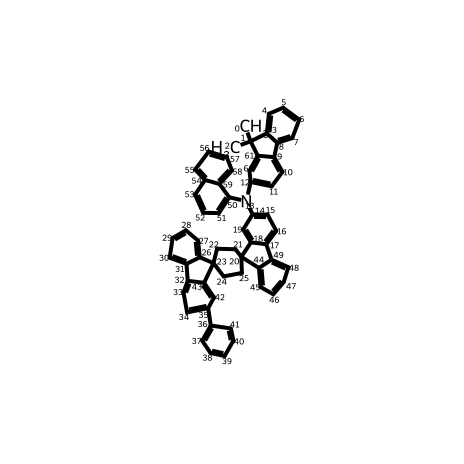 CC1(C)c2ccccc2-c2ccc(N(c3ccc4c(c3)C3(CCC5(CC3)c3ccccc3-c3ccc(-c6ccccc6)cc35)c3ccccc3-4)c3cccc4ccccc34)cc21